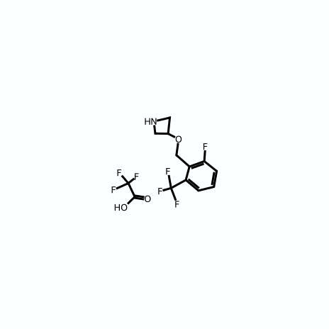 Fc1cccc(C(F)(F)F)c1COC1CNC1.O=C(O)C(F)(F)F